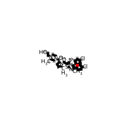 CC(C)C1=C(C(=O)N2[C@H](C)CC[C@H]2C(=O)N2CCN(CCO)[C@H](C)C2)SC2=N[C@@](C)(c3ccc(Cl)cc3)[C@@H](c3ccc(Cl)cc3)N21